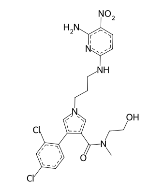 CN(CCO)C(=O)c1cn(CCCNc2ccc([N+](=O)[O-])c(N)n2)cc1-c1ccc(Cl)cc1Cl